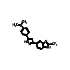 CN(C)c1ccc(-c2cc(-c3ccc4[nH]c(C(F)(F)F)nc4c3)n[nH]2)cc1